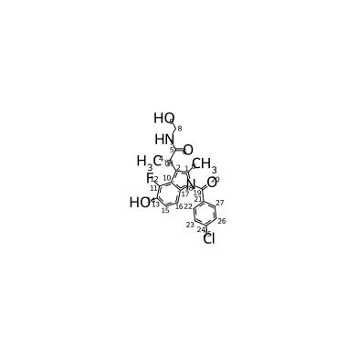 Cc1c([C@H](C)C(=O)NCO)c2c(F)c(O)ccc2n1C(=O)c1ccc(Cl)cc1